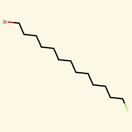 FCCCCCCCCCCCCCBr